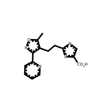 Cc1onc(-c2ccccn2)c1CCc1ncc(C(=O)O)s1